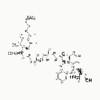 C=CC(C(C)CCCSC)C(C)C(CC)C(=O)N(C=O)CCCC(C)(C)OCC(C)(C)CCC(=O)N1Cc2ccccc2/C(NC(C)(C)CO)=C(/N=N)c2ccccc21